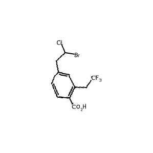 O=C(O)c1ccc(CC(Cl)Br)cc1CC(F)(F)F